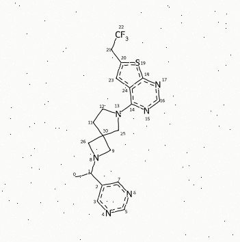 CC(c1cncnc1)N1CC2(CCN(c3ncnc4sc(CC(F)(F)F)cc34)C2)C1